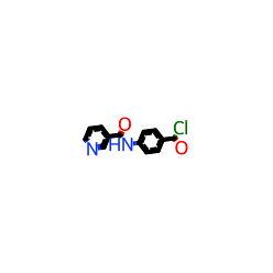 O=C(Cl)c1ccc(NC(=O)c2cccnc2)cc1